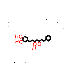 O=C(CCc1ccccc1)CC(O)CCc1ccc(O)c(O)c1